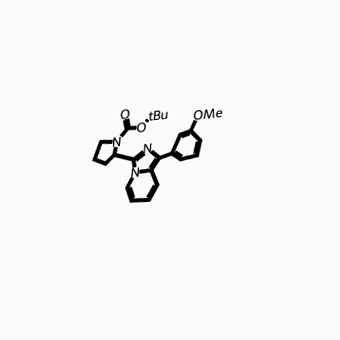 COc1cccc(-c2nc(C3CCCN3C(=O)OC(C)(C)C)n3ccccc23)c1